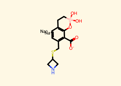 O=C([O-])c1c(CSC2CNC2)ccc2c1O[B-](O)(O)CC2.[Na+].[Na+]